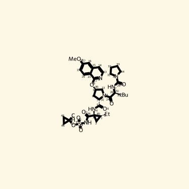 CC[C@@H]1C[C@]1(NC(=O)[C@@H]1C[C@@H](Oc2nccc3cc(OC)ccc23)CN1C(=O)[C@@H](NC(=O)N1CCCC1)C(C)(C)C)C(=O)NS(=O)(=O)OC1(C)CC1